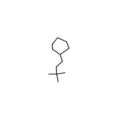 CC(C)(C)C[CH]C1CCCCC1